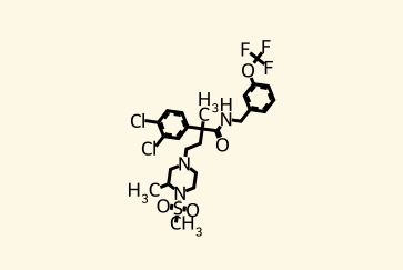 CC1CN(CCC(C)(C(=O)NCc2cccc(OC(F)(F)F)c2)c2ccc(Cl)c(Cl)c2)CCN1S(C)(=O)=O